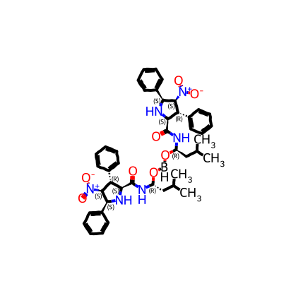 CC(C)C[C@H](NC(=O)[C@H]1N[C@@H](c2ccccc2)[C@@H]([N+](=O)[O-])[C@@H]1c1ccccc1)OBO[C@H](CC(C)C)NC(=O)[C@H]1N[C@@H](c2ccccc2)[C@@H]([N+](=O)[O-])[C@@H]1c1ccccc1